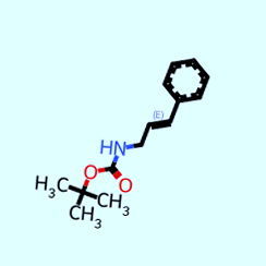 CC(C)(C)OC(=O)NC/C=C/c1ccccc1